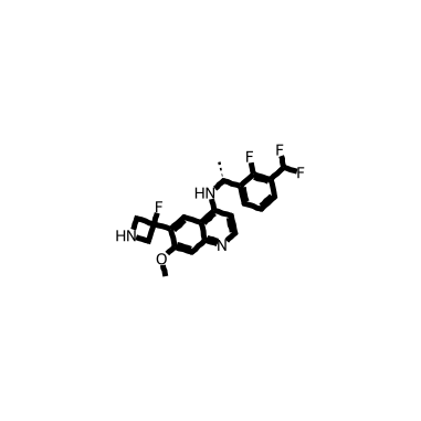 COc1cc2nccc(N[C@H](C)c3cccc(C(F)F)c3F)c2cc1C1(F)CNC1